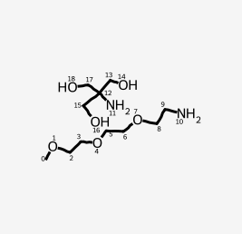 COCCOCCOCCN.NC(CO)(CO)CO